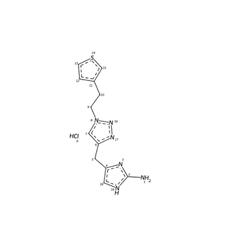 Cl.Nc1nc(Cc2cn(CCc3ccsc3)nn2)c[nH]1